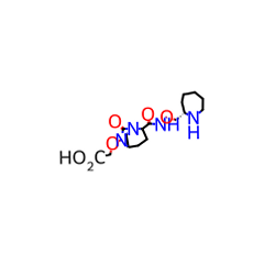 O=C(O)CON1C(=O)N2CC1CCC2C(=O)NOC[C@@H]1CCCCCN1